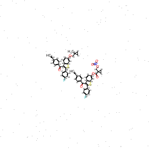 C#Cc1ccc(C(=O)c2c(-c3ccc(F)cc3)sc3cc(OC(=O)C4(CO[N+](=O)[O-])CC4)ccc23)cc1.C#Cc1ccc(C(=O)c2c(-c3ccc(F)cc3)sc3cc(OCC4(C)CC4)ccc23)cc1